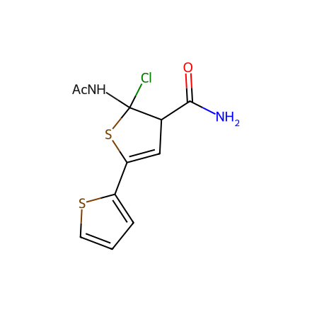 CC(=O)NC1(Cl)SC(c2cccs2)=CC1C(N)=O